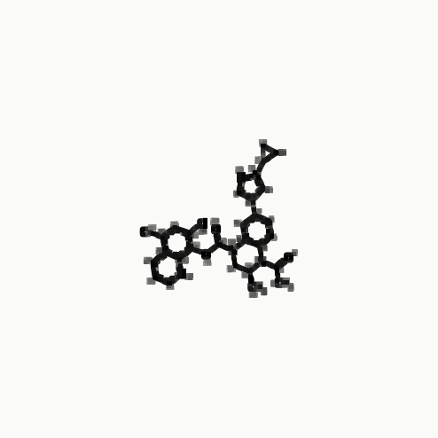 CC(=O)N1c2ccc(-c3cnn(C4CC4)c3)cc2N(C(=O)Oc2c(Cl)cc(Cl)c3cccnc23)C[C@@H]1C